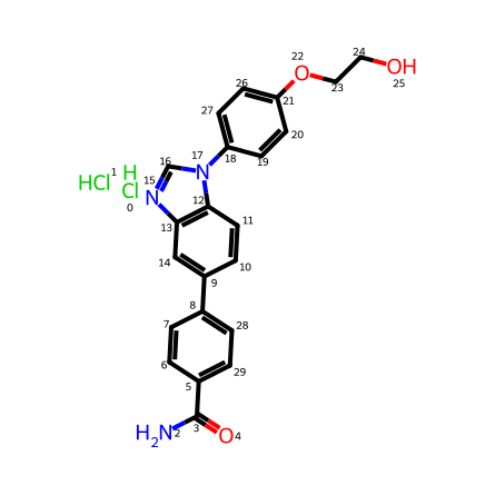 Cl.Cl.NC(=O)c1ccc(-c2ccc3c(c2)ncn3-c2ccc(OCCO)cc2)cc1